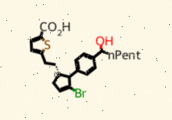 CCCCCC(O)c1ccc(C2C(Br)=CC[C@@H]2CCc2ccc(C(=O)O)s2)cc1